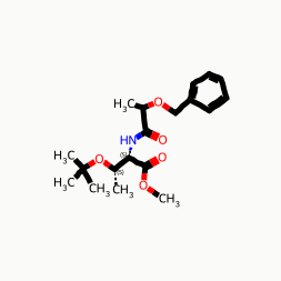 COC(=O)[C@@H](NC(=O)C(C)OCc1ccccc1)[C@H](C)OC(C)(C)C